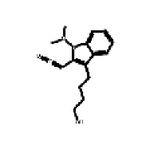 CN(C)n1c(C=C=O)c(CCCCO)c2ccccc21